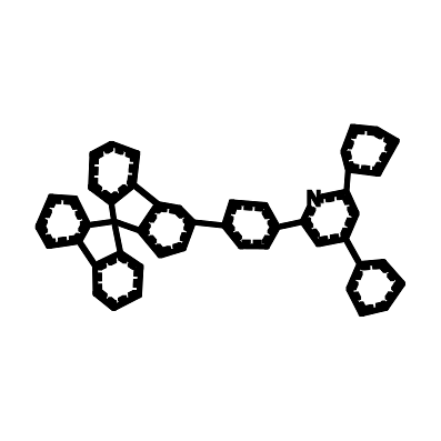 c1ccc(-c2cc(-c3ccccc3)nc(-c3ccc(-c4ccc5c(c4)-c4ccccc4C54c5ccccc5-c5ccccc54)cc3)c2)cc1